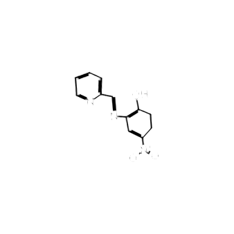 O=[N+]([O-])C1=CC(/N=C/c2ccccn2)=C(O)CC1